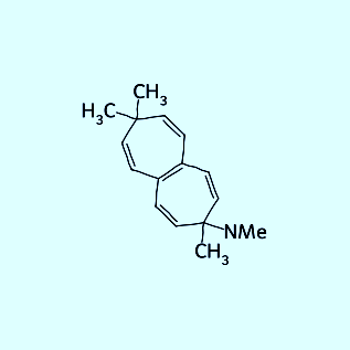 CNC1(C)C=CC2=C(C=CC(C)(C)C=C2)C=C1